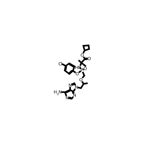 CC(Cn1cnc2c(N)ncnc21)OCP(=O)(NC(C)(C)C(=O)OC1CCC1)Oc1ccc(Cl)cc1